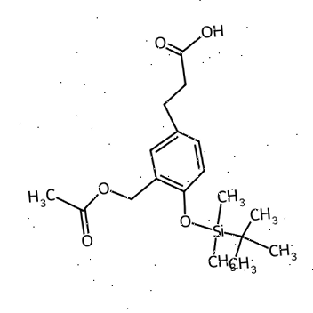 CC(=O)OCc1cc(CCC(=O)O)ccc1O[Si](C)(C)C(C)(C)C